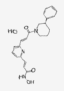 Cl.O=C(C=Cc1cccc(C=CC(=O)N2CCC[C@H](c3ccccc3)C2)n1)NO